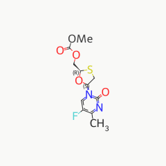 COC(=O)OC[C@@H]1O[C@H](n2cc(F)c(C)nc2=O)CS1